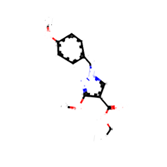 CCOC(=O)c1cn(Cc2ccc(OC)cc2)nc1OC